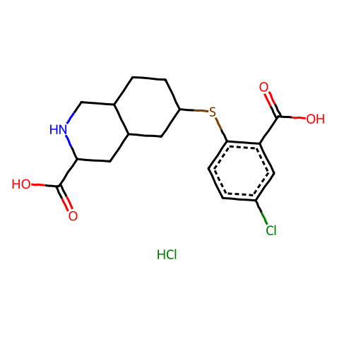 Cl.O=C(O)c1cc(Cl)ccc1SC1CCC2CNC(C(=O)O)CC2C1